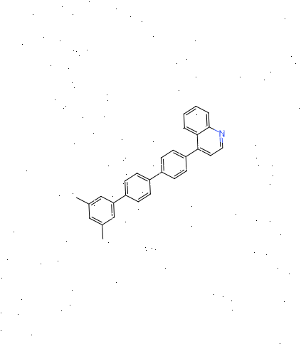 Cc1cc(C)cc(-c2ccc(-c3ccc(-c4ccnc5ccccc45)cc3)cc2)c1